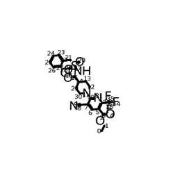 CCOC(=O)c1cc(C#N)c(N2CCC(C(=O)NS(=O)(=O)Cc3ccccc3Cl)CC2)nc1C(F)(F)F